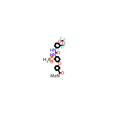 CNC(=O)c1cccc(Oc2ccc(NC(=O)Nc3ccc4c(c3)C(F)(F)OC(F)(F)O4)c(S(C)(=O)=O)c2)c1